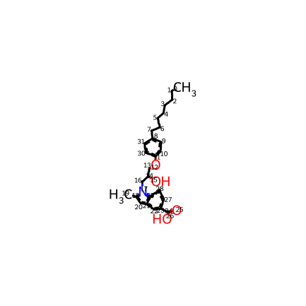 CCCCCCCCc1ccc(OCC(O)Cn2c(C)cc3cc(C(=O)O)ccc32)cc1